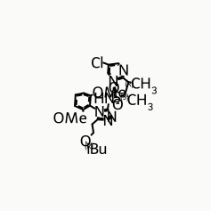 CC[C@@H](C)OCCc1nnc(NS(=O)(=O)[C@@H](C)[C@H](C)c2ncc(Cl)cn2)n1-c1c(OC)cccc1OC